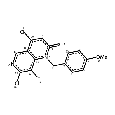 COc1ccc(Cn2c(=O)cc(Cl)c3cnc(Cl)c(F)c32)cc1